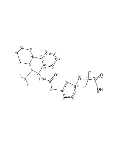 CC(C)CC(NC(=O)Cc1cccc(OC(C)(C)C(=O)O)c1)c1ccccc1N1CCCCC1